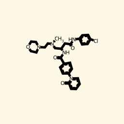 CN(CCN1CCOCC1)CC(CC(=O)Nc1ccc(Cl)cc1)NC(=O)c1ccc(-n2ccccc2=O)cc1